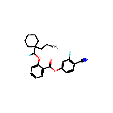 CCCC1(C(F)Oc2ccccc2C(=O)Oc2ccc(C#N)c(F)c2)CCCCC1